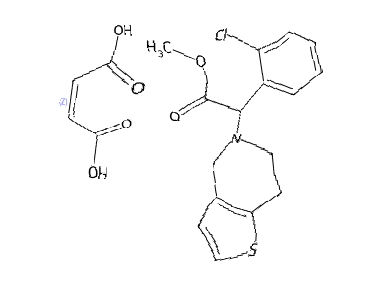 COC(=O)C(c1ccccc1Cl)N1CCc2sccc2C1.O=C(O)/C=C\C(=O)O